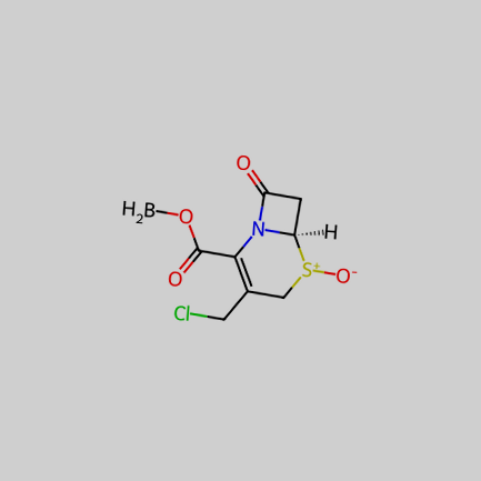 BOC(=O)C1=C(CCl)C[S+]([O-])[C@@H]2CC(=O)N12